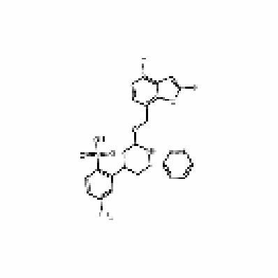 Cc1ccc(S(=O)(=O)O)c(C2CCNC(OCc3ccc(Cl)c4cc(F)oc34)C2)c1.c1ccncc1